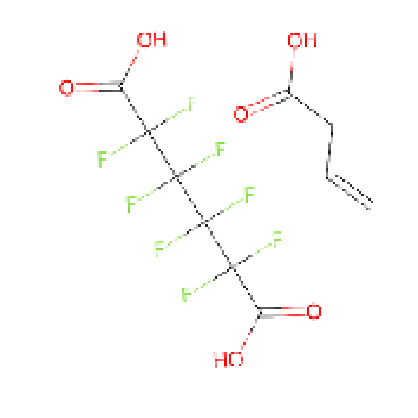 C=CCC(=O)O.O=C(O)C(F)(F)C(F)(F)C(F)(F)C(F)(F)C(=O)O